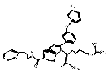 N=C(N)NCCC[C@@H](C(N)=O)n1c(-c2cccc(Oc3cccc(C(F)(F)F)c3)c2)nc2cc(C(=O)NCCc3ccccn3)ccc21